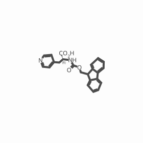 O=C(N[C@H](Cc1ccncc1)C(=O)O)OCC1c2ccccc2-c2ccccc21